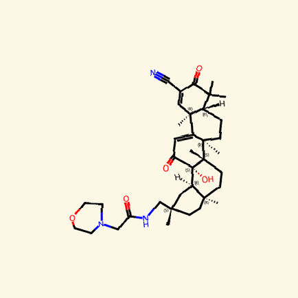 CC1(C)C(=O)C(C#N)=C[C@]2(C)C3=CC(=O)[C@]4(O)[C@@H]5C[C@@](C)(CNC(=O)CN6CCOCC6)CC[C@]5(C)CC[C@@]4(C)[C@]3(C)CC[C@@H]12